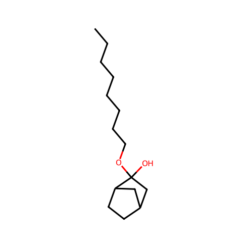 CCCCCCCCOC1(O)CC2CCC1C2